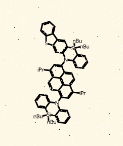 CCCC[Si]1(CCCC)c2ccccc2N(c2cc(C(C)C)c3ccc4c(N5c6ccccc6[Si](CCCC)(CCCC)c6cc7c(cc65)sc5ccccc57)cc(C(C)C)c5ccc2c3c54)c2ccccc21